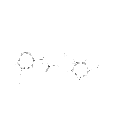 Cc1nc(OCC(=O)Nc2cccc(C(F)(F)F)c2)c(C#N)c(C)c1[N+](=O)[O-]